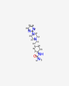 CN(C)C(=O)N[C@H]1CC[C@H](CCN2CCN(c3ncccn3)CC2)CC1